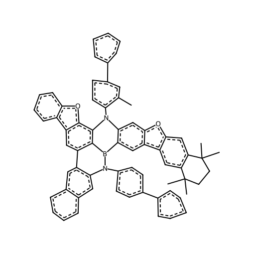 Cc1cc(-c2ccccc2)ccc1N1c2cc3oc4cc5c(cc4c3cc2B2c3c(cc4c(oc6ccccc64)c31)-c1cc3ccccc3cc1N2c1ccc(-c2ccccc2)cc1)C(C)(C)CCC5(C)C